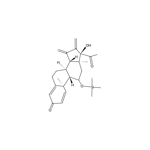 C=C1C(=C)[C@](O)(C(C)=O)[C@@]2(C)CC(O[Si](C)(C)C)[C@H]3[C@@H](CCC4=CC(=O)C=C[C@@]43C)[C@H]12